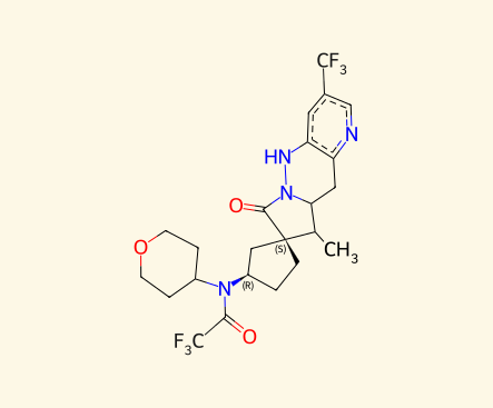 CC1C2Cc3ncc(C(F)(F)F)cc3NN2C(=O)[C@]12CC[C@@H](N(C(=O)C(F)(F)F)C1CCOCC1)C2